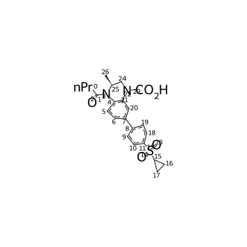 CCCC(=O)N1c2ccc(-c3ccc(S(=O)(=O)C4CC4)cc3)cc2N(C(=O)O)C[C@@H]1C